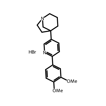 Br.COc1ccc(-c2ccc(C34CCCN(CC3)C4)cn2)cc1OC